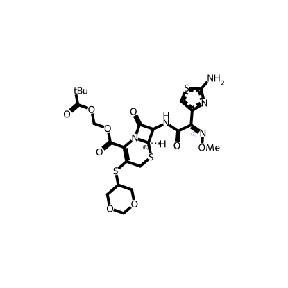 CO/N=C(\C(=O)NC1C(=O)N2C(C(=O)OCOC(=O)C(C)(C)C)=C(SC3COCOC3)CS[C@H]12)c1csc(N)n1